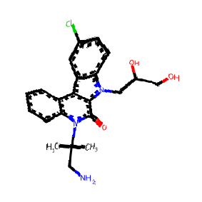 CC(C)(CN)n1c(=O)c2c(c3ccccc31)c1cc(Cl)ccc1n2CC(O)CO